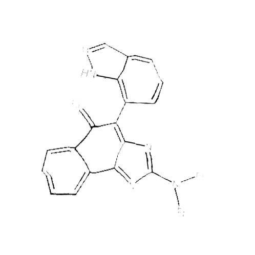 CCN(CC)C1=NC2=C(c3cccc4cn[nH]c34)C(=O)c3ccccc3C2=N1